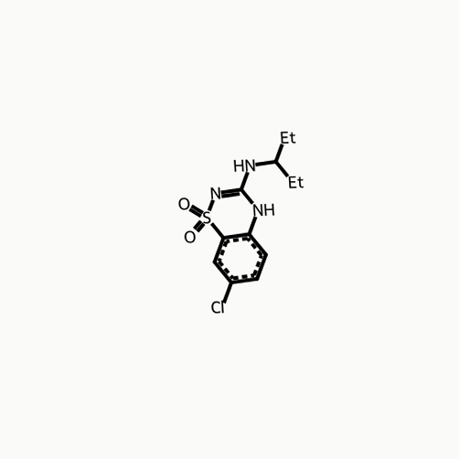 CCC(CC)NC1=NS(=O)(=O)c2cc(Cl)ccc2N1